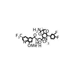 COc1cc(C(=O)NCC(O)(c2cc3c(c(-c4ccc(F)c(F)c4)n2)OC[C@]3(C)C(N)=O)C(F)(F)F)cc2cc(C(F)(F)F)cnc12